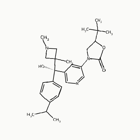 CC(C)c1ccc([C@](O)(c2cncc(N3CC(C(C)(C)C)OC3=O)c2)C2(C)CN(C)C2)cc1